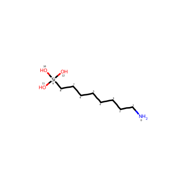 NCCCCCCCC[Si](O)(O)O